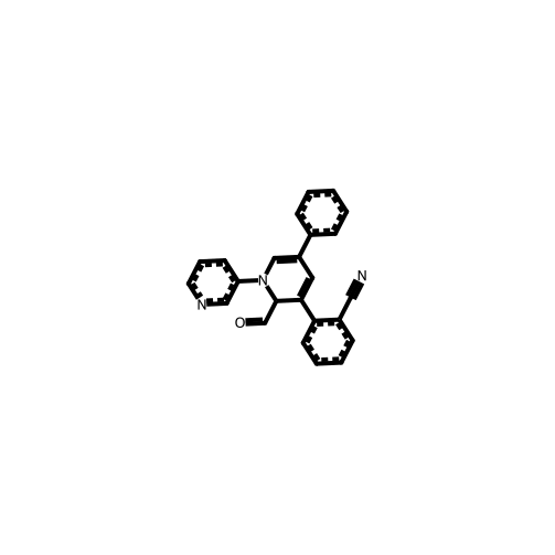 N#Cc1ccccc1C1=CC(c2ccccc2)=CN(c2cccnc2)C1C=O